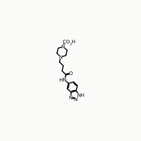 O=C(CCCN1CCN(C(=O)O)CC1)Nc1ccc2[nH]nnc2c1